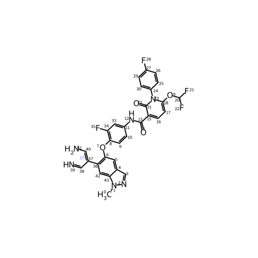 Cn1ncc2cc(Oc3ccc(NC(=O)c4ccc(OC(F)F)n(-c5ccc(F)cc5)c4=O)cc3F)c(/C(C=N)=C/N)cc21